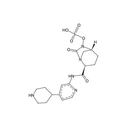 O=C(Nc1cc(C2CCNCC2)ccn1)[C@@H]1CC[C@@H]2CN1C(=O)N2OS(=O)(=O)O